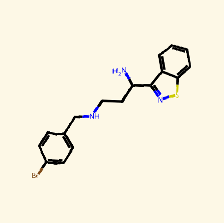 NC(CCNCc1ccc(Br)cc1)c1nsc2ccccc12